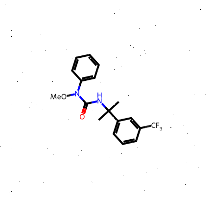 CON(C(=O)NC(C)(C)c1cccc(C(F)(F)F)c1)c1ccccc1